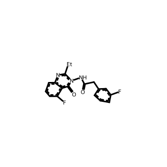 CCc1nc2cccc(F)c2c(=O)n1NC(=O)Cc1cccc(F)c1